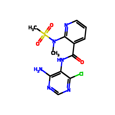 CN(c1ncccc1C(=O)Nc1c(N)ncnc1Cl)S(C)(=O)=O